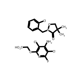 CC1(C)CON(Cc2ccccc2Cl)C1=O.Nc1c(Cl)c(F)nc(OCC(=O)O)c1Cl